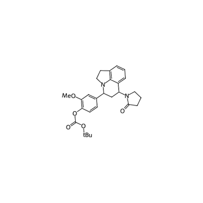 COc1cc(C2CC(N3CCCC3=O)c3cccc4c3N2CC4)ccc1OC(=O)OC(C)(C)C